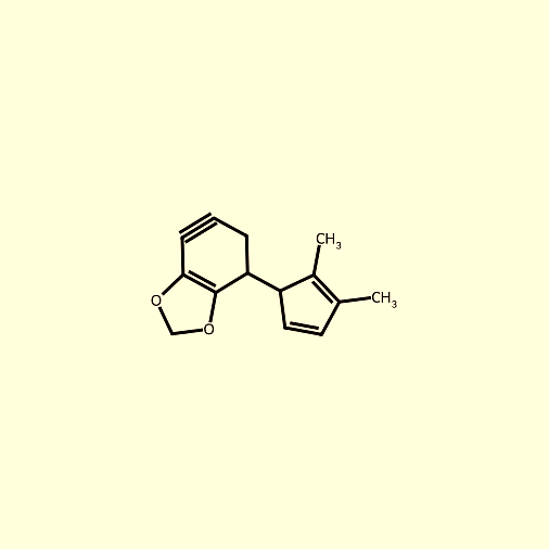 CC1=C(C)C(C2CC#CC3=C2OCO3)C=C1